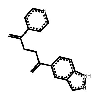 C=C(CCC(=C)c1ccc2[nH]ncc2c1)c1ccncc1